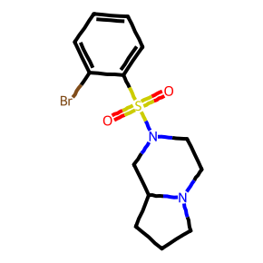 O=S(=O)(c1ccccc1Br)N1CCN2CCCC2C1